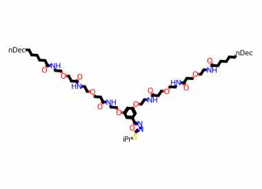 CCCCCCCCCCCCCCCC(=O)NCCOCCC(=O)NCCOCCC(=O)NCCOc1cc(OCCNC(=O)CCOCCNC(=O)CCOCCNC(=O)CCCCCCCCCCCCCCC)cc(-c2nnc(SC(C)C)o2)c1